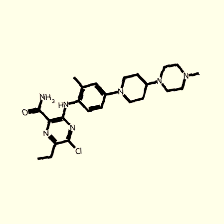 CCc1nc(C(N)=O)c(Nc2ccc(N3CCC(N4CCN(C)CC4)CC3)cc2C)nc1Cl